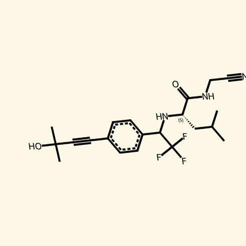 CC(C)C[C@H](NC(c1ccc(C#CC(C)(C)O)cc1)C(F)(F)F)C(=O)NCC#N